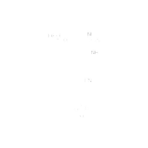 CCOC(=O)Oc1ccc2c(c1)/C(=C(/Nc1ccc(CNCCCCC(=O)OC(C)(C)C)cc1)c1ccccc1)C(=O)N2